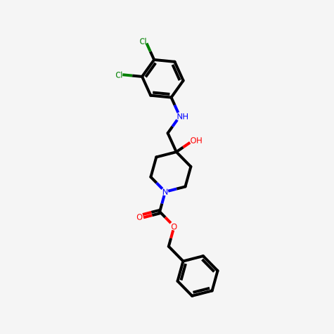 O=C(OCc1ccccc1)N1CCC(O)(CNc2ccc(Cl)c(Cl)c2)CC1